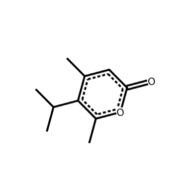 Cc1cc(=O)oc(C)c1C(C)C